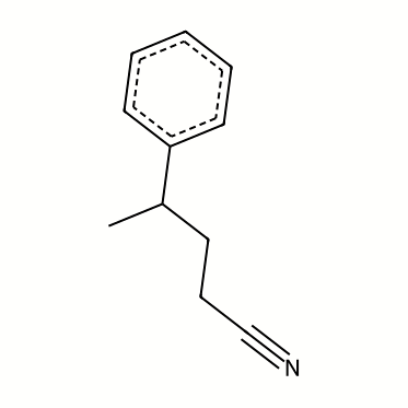 CC(CCC#N)c1ccccc1